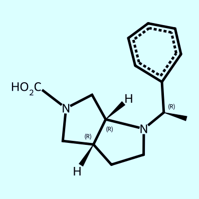 C[C@H](c1ccccc1)N1CC[C@@H]2CN(C(=O)O)C[C@@H]21